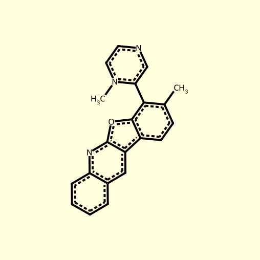 Cc1ccc2c(oc3nc4ccccc4cc32)c1-c1cncc[n+]1C